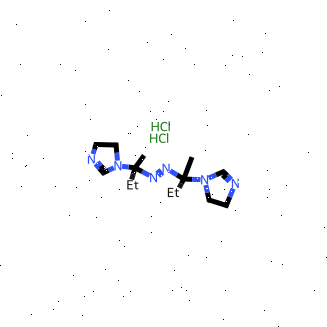 CCC(C)(N=NC(C)(CC)N1C=NCC1)N1C=NCC1.Cl.Cl